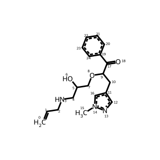 C=CCNCC(O)COC(Cc1cnn(C)c1)C(=O)c1ccccc1